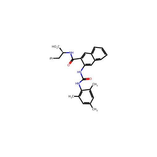 Cc1cc(C)c(NC(=O)Nc2cc3ccccc3cc2C(=O)N[C@@H](CC(C)C)C(=O)O)c(C)c1